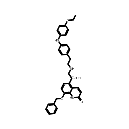 CCOc1ccc(Nc2ccc(CCNC[C@H](O)c3ccc(OCc4ccccc4)c4[nH]c(=O)ccc34)cc2)cc1